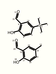 C[Si](C)(C)c1ccc(O)c(C=O)c1.Cc1ccc(O)c(C=O)c1